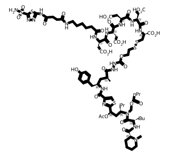 CCCC(=O)OCN(C(=O)[C@@H](NC(=O)[C@H]1CCCCN1C)C(C)CC)[C@H](C[C@@H](OC(C)=O)c1nc(C(=O)N[C@@H](Cc2ccc(O)cc2)C[C@H](C)C(=O)NNC(=O)OCCSSC[C@H](NC(=O)[C@H](CC(=O)O)NC(=O)[C@H](CC(=O)O)NC(=O)[C@H](CC(=O)O)NC(=O)[C@H](CC(=O)O)NC(=O)CCCCCNC(=O)CCC(=O)Nc2nnc(S(N)(=O)=O)s2)C(=O)O)cs1)C(C)C